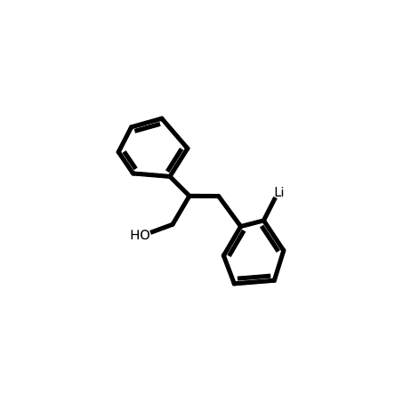 [Li][c]1ccccc1CC(CO)c1ccccc1